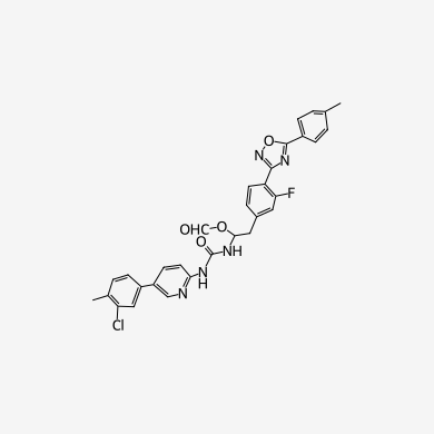 Cc1ccc(-c2nc(-c3ccc(CC(NC(=O)Nc4ccc(-c5ccc(C)c(Cl)c5)cn4)OC=O)cc3F)no2)cc1